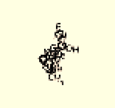 COc1cccc(OC)c1-n1c(NS(=O)(=O)[C@@H]2C[C@H](O)CN(c3ncc(F)cn3)C2)nnc1-c1nc(C)cs1